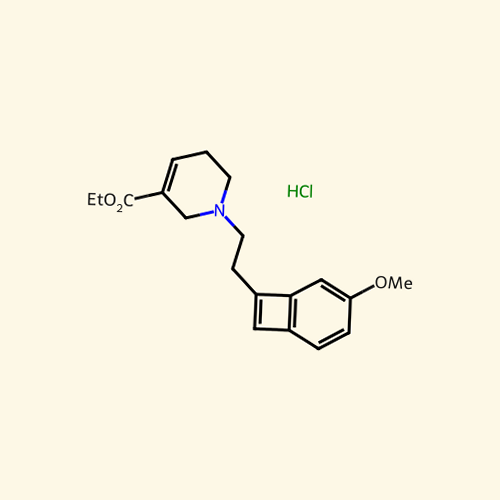 CCOC(=O)C1=CCCN(CCC2=Cc3ccc(OC)cc32)C1.Cl